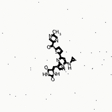 Cc1cnc(C(=O)c2ccc(-c3cc(NC4CC4)n4ncc(/C=C5\NC(=O)NC5=O)c4n3)s2)cn1